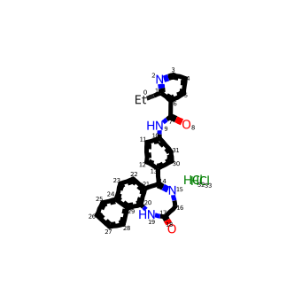 CCc1ncccc1C(=O)Nc1ccc(C2=NCC(=O)Nc3c2ccc2ccccc32)cc1.Cl.Cl